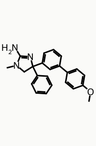 COc1ccc(-c2cccc(C3(c4ccccc4)CN(C)C(N)=N3)c2)cc1